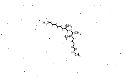 CCCCCCCC(N)CCC(C)C(N)CCCCCCC